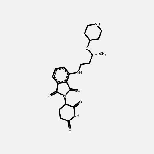 C[C@H](CCNc1cccc2c1C(=O)N(C1CCC(=O)NC1=O)C2=O)OC1CCNCC1